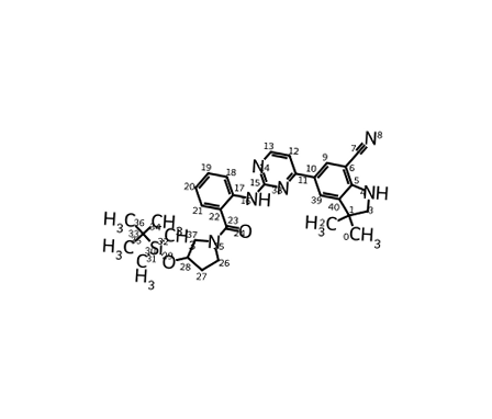 CC1(C)CNc2c(C#N)cc(-c3ccnc(Nc4ccccc4C(=O)N4CCC(O[Si](C)(C)C(C)(C)C)C4)n3)cc21